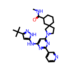 CNC(=O)C1CCCC2(CCN(c3cc(Nc4cc(C(C)(C)C)n[nH]4)nc(-c4cccnc4)n3)C2)C1